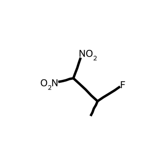 CC(F)[C]([N+](=O)[O-])[N+](=O)[O-]